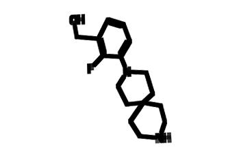 OCc1cccc(N2CCC3(CCNCC3)CC2)c1F